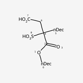 CCCCCCCCCCOC(=O)C(CCCCCCCCCC)(CC(=O)O)S(=O)(=O)O